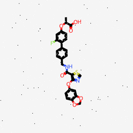 CC(Oc1ccc(-c2ccc(CNC(=O)c3scnc3Oc3ccc4c(c3)OCO4)cc2)c(F)c1)C(=O)O